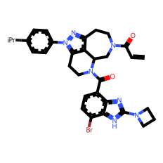 C=CC(=O)N1CCc2nn(-c3ccc(C(C)C)cc3)c3c2C(C1)N(C(=O)c1ccc(Br)c2[nH]c(N4CCC4)nc12)CC3